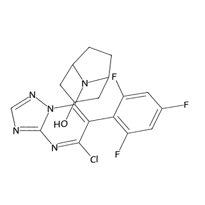 OC1CC2CCC(C1)N2c1c(-c2c(F)cc(F)cc2F)c(Cl)nc2ncnn12